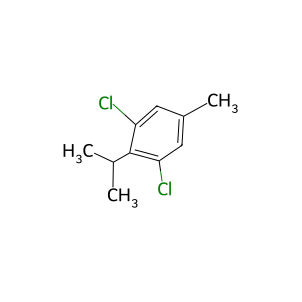 Cc1cc(Cl)c(C(C)C)c(Cl)c1